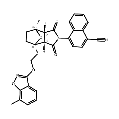 Cc1cccc2c(OCC[C@]34CC[C@](C)(O3)[C@@H]3C(=O)N(c5ccc(C#N)c6ccccc56)C(=O)[C@@H]34)noc12